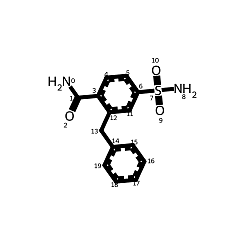 NC(=O)c1ccc(S(N)(=O)=O)cc1Cc1ccccc1